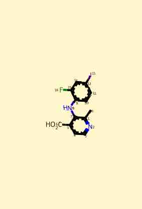 Cc1nccc(C(=O)O)c1Nc1ccc(I)cc1F